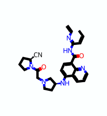 C=C/N=C(\C=C/C)NC(=O)c1ccc(N[C@H]2CCN(CC(=O)N3CCC[C@H]3C#N)C2)c2cccnc12